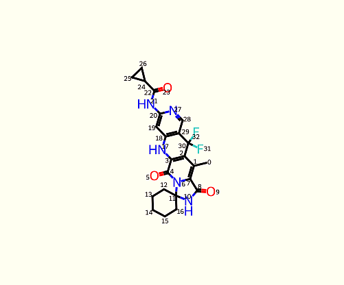 Cc1c2c(c(=O)n3c1C(=O)NC31CCCCC1)Nc1cc(NC(=O)C3CC3)ncc1C2(F)F